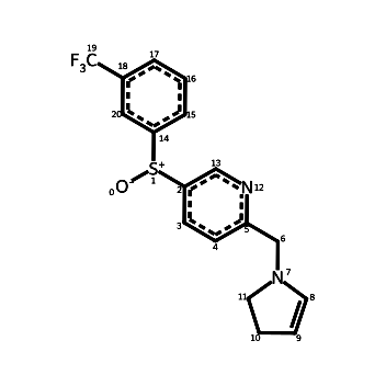 [O-][S+](c1ccc(CN2C=CCC2)nc1)c1cccc(C(F)(F)F)c1